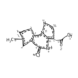 Cc1ccc2c(c1)c(=O)[nH]c1c(C(=O)O)cnn12